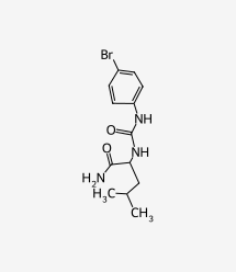 CC(C)CC(NC(=O)Nc1ccc(Br)cc1)C(N)=O